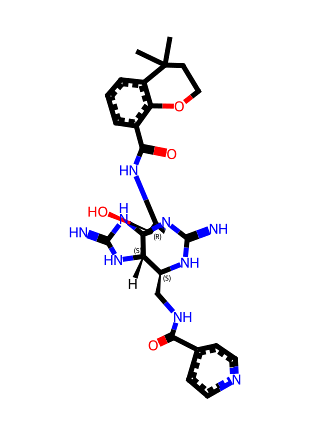 CC1(C)CCOc2c(C(=O)NC3CN4C(=N)N[C@@H](CNC(=O)c5ccncc5)[C@@H]5NC(=N)NC54[C@@H]3O)cccc21